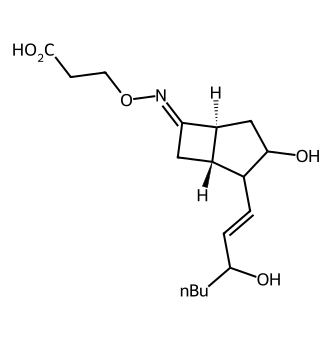 CCCCC(O)C=CC1C(O)C[C@@H]2C(=NOCCC(=O)O)C[C@@H]12